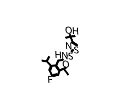 CC(C)c1cc(F)cc(C(C)C)c1CC(=O)NSc1nc(C(C)(C)O)cs1